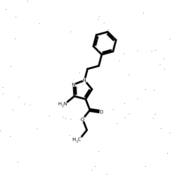 CCOC(=O)c1cn(CCc2ccccc2)nc1N